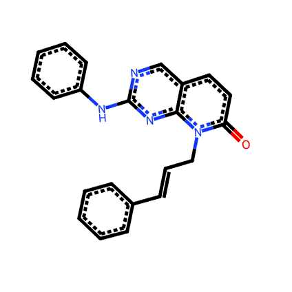 O=c1ccc2cnc(Nc3ccccc3)nc2n1C/C=C/c1ccccc1